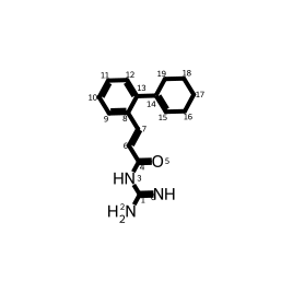 N=C(N)NC(=O)C=Cc1ccccc1C1=CCCCC1